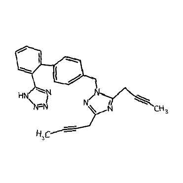 CC#CCc1nc(CC#CC)n(Cc2ccc(-c3ccccc3-c3nnn[nH]3)cc2)n1